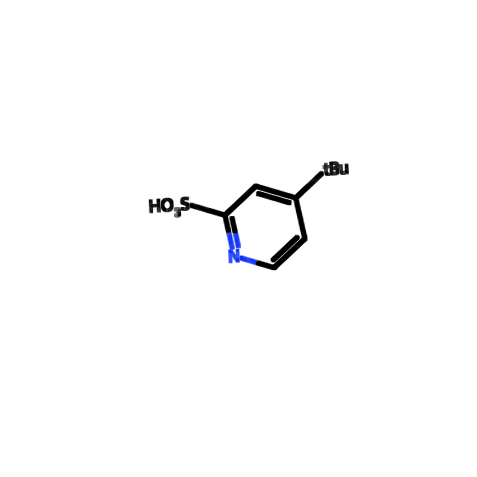 CC(C)(C)c1ccnc(S(=O)(=O)O)c1